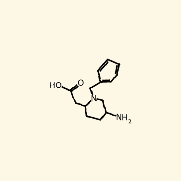 NC1CCC(CC(=O)O)N(Cc2ccccc2)C1